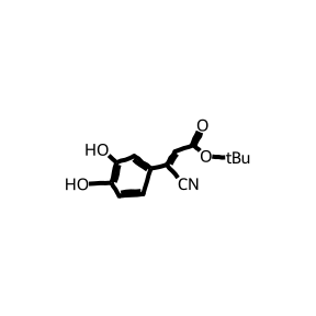 CC(C)(C)OC(=O)C=C(C#N)c1ccc(O)c(O)c1